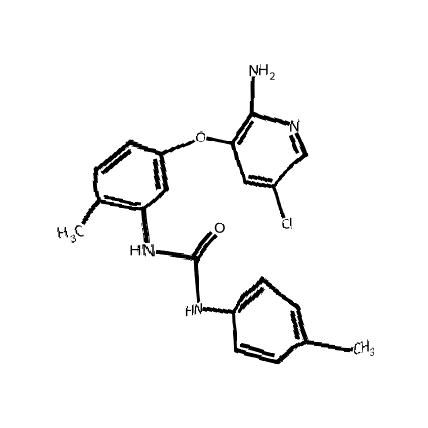 Cc1ccc(NC(=O)Nc2cc(Oc3cc(Cl)cnc3N)ccc2C)cc1